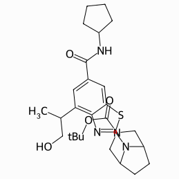 CC(CO)c1cc(C(=O)NC2CCCC2)cc2sc(N3C4CCC3CN(C(=O)OC(C)(C)C)C4)nc12